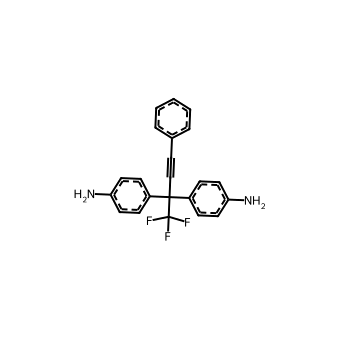 Nc1ccc(C(C#Cc2ccccc2)(c2ccc(N)cc2)C(F)(F)F)cc1